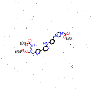 CC(C)(C)OCOCN(CCNC(=O)OC(C)(C)C)Cc1ccc(-c2ccnc(Nc3cccc(CN4CCN(CC(=O)OC(C)(C)C)CC4)c3)c2)cn1